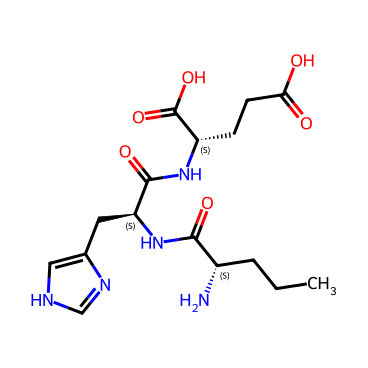 CCC[C@H](N)C(=O)N[C@@H](Cc1c[nH]cn1)C(=O)N[C@@H](CCC(=O)O)C(=O)O